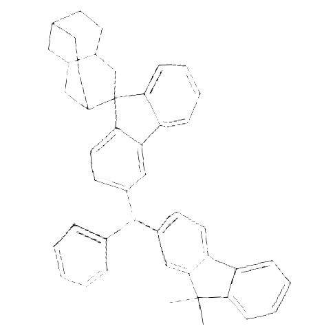 CC1(C)c2ccccc2-c2ccc(N(c3ccccc3)c3ccc4c(c3)-c3ccccc3C43CC4CCC5CC4CC3C5)cc21